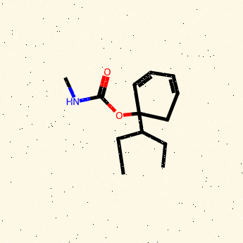 CCC(CC)C1(OC(=O)NC)C=CC=CC1